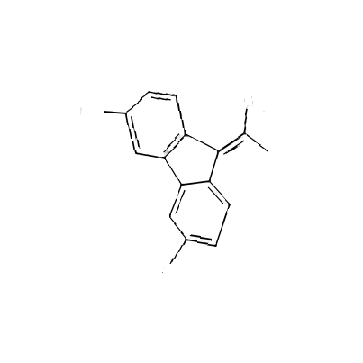 CC(C)=C1c2ccc(C)cc2-c2cc(F)ccc21